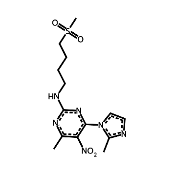 Cc1nc(NCCCCS(C)(=O)=O)nc(-n2ccnc2C)c1[N+](=O)[O-]